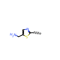 CNc1ncc(CN)s1